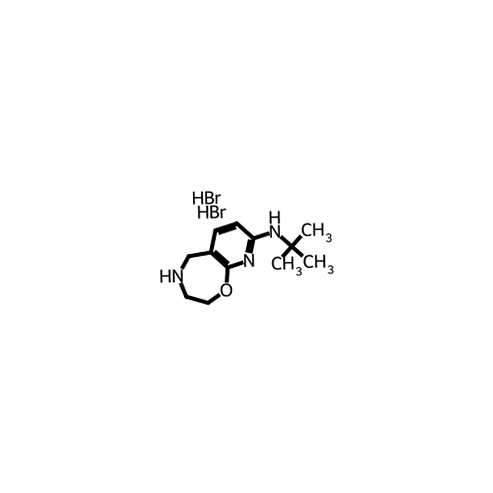 Br.Br.CC(C)(C)Nc1ccc2c(n1)OCCNC2